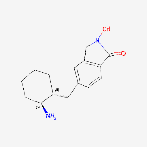 N[C@H]1CCCC[C@@H]1Cc1ccc2c(c1)CN(O)C2=O